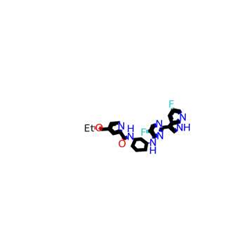 CCOCc1ccnc(C(=O)N[C@H]2CCC[C@@H](Nc3nc(-c4c[nH]c5ncc(F)cc45)ncc3F)C2)c1